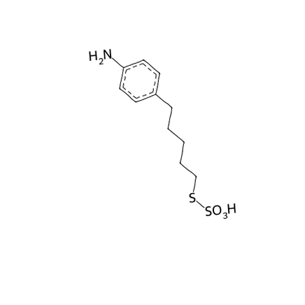 Nc1ccc(CCCCCSS(=O)(=O)O)cc1